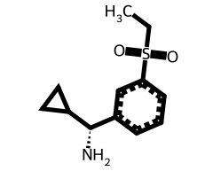 CCS(=O)(=O)c1cccc([C@H](N)C2CC2)c1